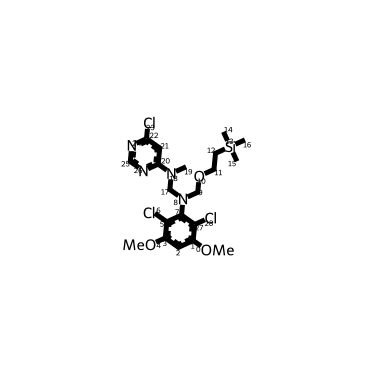 COc1cc(OC)c(Cl)c(N(COCC[Si](C)(C)C)CN(C)c2cc(Cl)ncn2)c1Cl